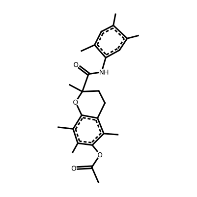 CC(=O)Oc1c(C)c(C)c2c(c1C)CCC(C)(C(=O)Nc1cc(C)c(C)cc1C)O2